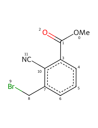 COC(=O)c1cccc(CBr)c1C#N